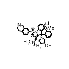 COc1ccccc1C1(N2C[C@H](O)C[C@H]2C(=O)N(C)C)C(=O)N(S(=O)(=O)c2ccc3c(c2)CNCC3)c2ccc(Cl)cc21